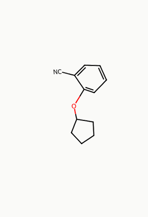 N#Cc1ccccc1OC1CCCC1